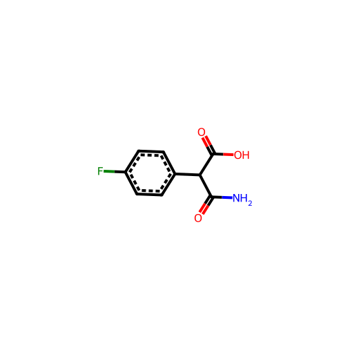 NC(=O)C(C(=O)O)c1ccc(F)cc1